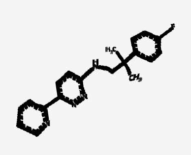 CC(C)(CNc1ccc(-c2ccccn2)nn1)c1ccc(F)cc1